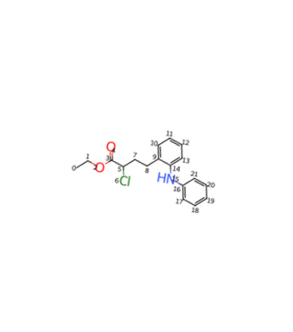 CCOC(=O)C(Cl)CCc1ccccc1Nc1ccccc1